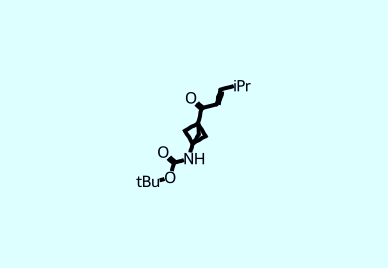 CC(C)/C=C/C(=O)C12CC(NC(=O)OC(C)(C)C)(C1)C2